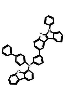 c1ccc(-c2ccc(N(c3cccc(-c4ccc5oc6c(c5c4)c4ccccc4n6-c4ccccc4)c3)c3cccc4c3oc3ccccc34)cc2)cc1